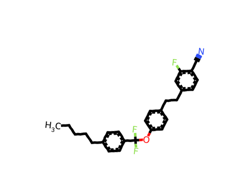 CCCCCc1ccc(C(F)(F)Oc2ccc(CCc3ccc(C#N)c(F)c3)cc2)cc1